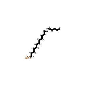 CCCCC=C=CCC=CCCCCCCCCBr